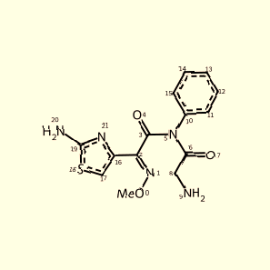 CON=C(C(=O)N(C(=O)CN)c1ccccc1)c1csc(N)n1